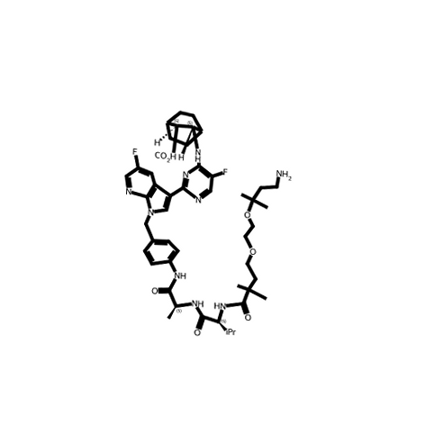 CC(C)[C@H](NC(=O)C(C)(C)CCOCCOC(C)(C)CCN)C(=O)N[C@@H](C)C(=O)Nc1ccc(Cn2cc(-c3ncc(F)c(N[C@H]4C5CCC(CC5)[C@@H]4C(=O)O)n3)c3cc(F)cnc32)cc1